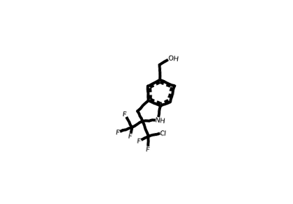 OCc1ccc2c(c1)CC(C(F)(F)F)(C(F)(F)Cl)N2